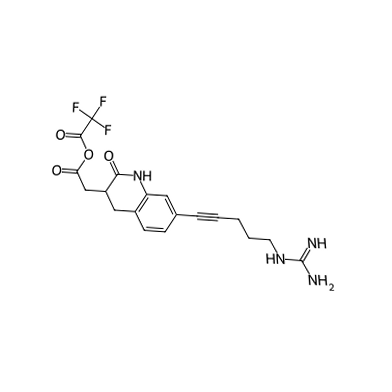 N=C(N)NCCCC#Cc1ccc2c(c1)NC(=O)C(CC(=O)OC(=O)C(F)(F)F)C2